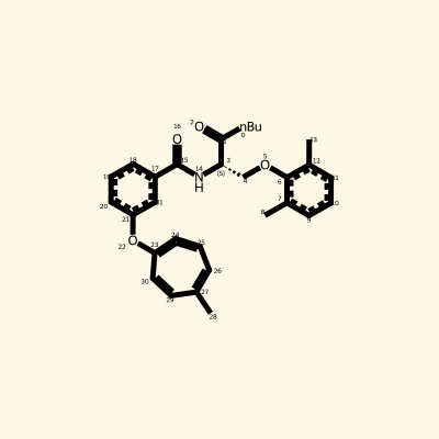 CCCCC(=O)[C@H](COc1c(C)cccc1C)NC(=O)c1cccc(OC2=C=CC=C(C)C=C2)c1